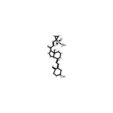 C=C1CCC(O)C/C1=C/C=C1\CCCC2(C)C1CCC2C(C)/C=C/C1(S(=O)(=O)C(C)(C)C)CC1